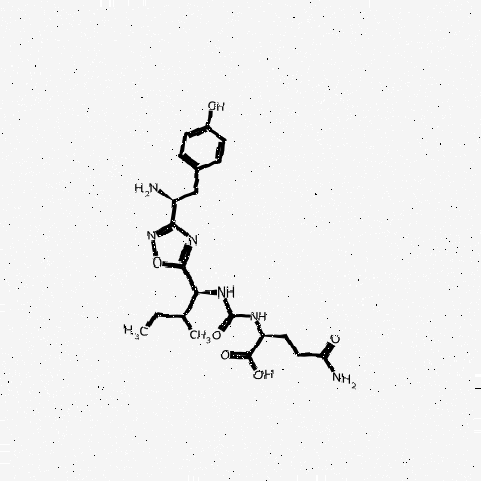 CCC(C)[C@H](NC(=O)N[C@@H](CCC(N)=O)C(=O)O)c1nc([C@@H](N)Cc2ccc(O)cc2)no1